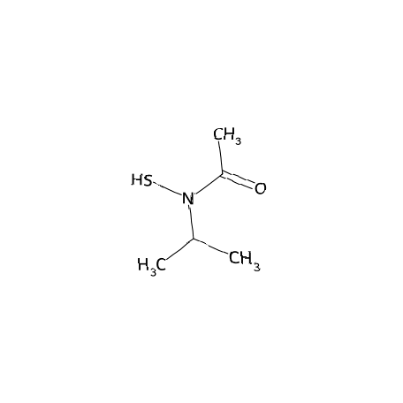 CC(=O)N(S)C(C)C